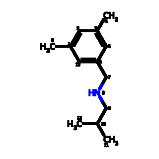 Cc1cc(C)cc(CNCC(C)C)c1